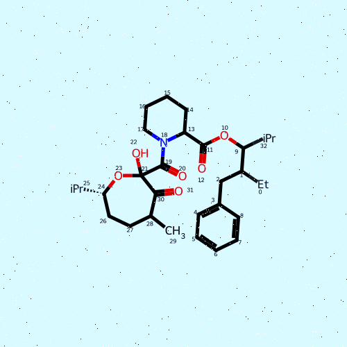 CCC(Cc1ccccc1)C(OC(=O)C1CCCCN1C(=O)C1(O)O[C@@H](C(C)C)CCC(C)C1=O)C(C)C